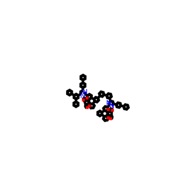 c1ccc(-c2ccc(-c3cc(-c4cccc(-c5cccc(-c6ccc7c(c6)-c6ccc(-c8nc(-c9ccc(-c%10ccccc%10)cc9)cc(-c9cc(-c%10ccccc%10)cc(-c%10ccccc%10)c9)n8)cc6C6(c8ccccc8-7)c7ccccc7-c7ccccc76)c5)c4)nc(-c4ccc5c(c4)C4(c6ccccc6-c6ccccc6-5)c5ccccc5-c5ccccc54)n3)cc2)cc1